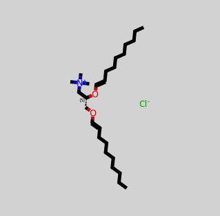 CCCCCCCCC=COC[C@H](C[N+](C)(C)C)OC=CCCCCCCCC.[Cl-]